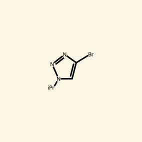 CC(C)n1cc(Br)nn1